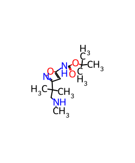 CNCC(C)(C)c1cc(NC(=O)OC(C)(C)C)on1